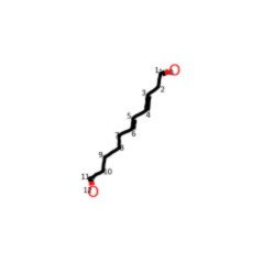 O=[C]CC=CC=CCCCC[C]=O